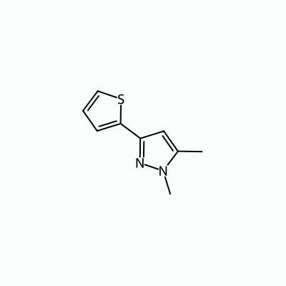 Cc1cc(-c2cccs2)nn1C